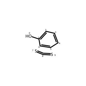 Oc1ccccc1.S=C=S